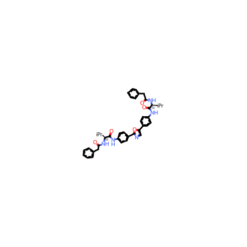 CC(C)[C@H](NC(=O)Cc1ccccc1)C(=O)Nc1ccc(-c2cnc(-c3ccc(NC(=O)[C@@H](NC(=O)Cc4ccccc4)C(C)C)cc3)o2)cc1